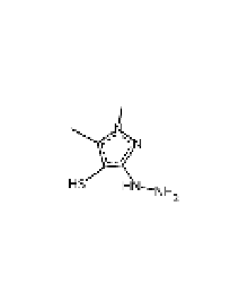 Cc1c(S)c(NN)nn1C